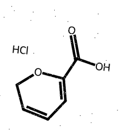 Cl.O=C(O)C1=CC=CCO1